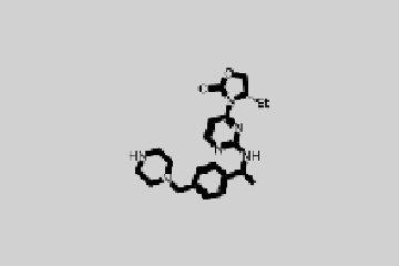 CC[C@H]1COC(=O)N1c1ccnc(NC(C)c2ccc(CN3CCNCC3)cc2)n1